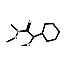 COC(C(=O)N(C)OC)C1CCCCC1